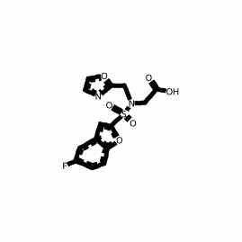 O=C(O)CN(Cc1ncco1)S(=O)(=O)c1cc2cc(F)ccc2o1